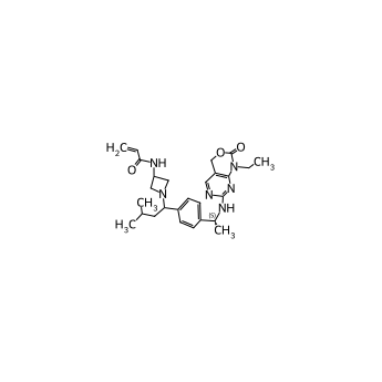 C=CC(=O)NC1CN(C(CC(C)C)c2ccc([C@H](C)Nc3ncc4c(n3)N(CC)C(=O)OC4)cc2)C1